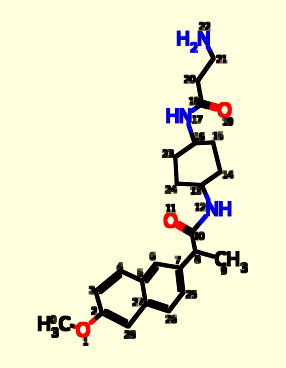 COc1ccc2cc(C(C)C(=O)NC3CCC(NC(=O)CCN)CC3)ccc2c1